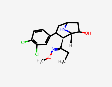 CCC(=NOC)[C@H]1C(c2ccc(Cl)c(Cl)c2)CC2CC(O)[C@H]1N2